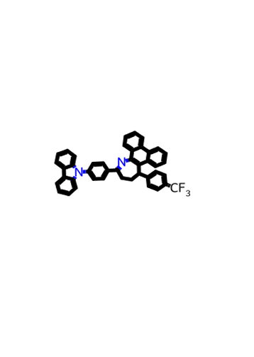 FC(F)(F)c1ccc(C2CCC(c3ccc(-n4c5ccccc5c5ccccc54)cc3)=Nc3c2c2ccccc2c2ccccc32)cc1